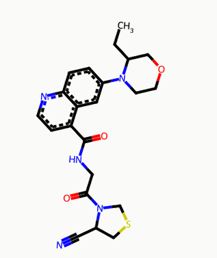 CCC1COCCN1c1ccc2nccc(C(=O)NCC(=O)N3CSCC3C#N)c2c1